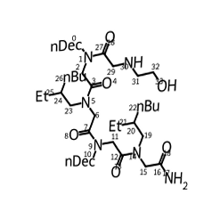 CCCCCCCCCCN(CC(=O)N(CC(=O)N(CCCCCCCCCC)CC(=O)N(CC(N)=O)CC(CC)CCCC)CC(CC)CCCC)C(=O)CNCCO